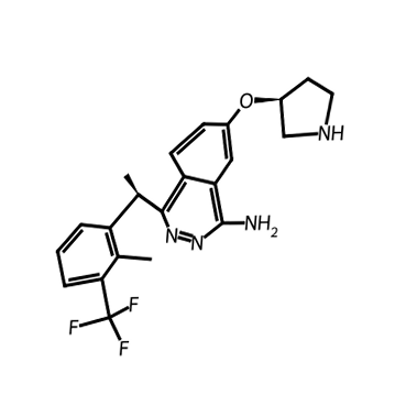 Cc1c([C@@H](C)c2nnc(N)c3cc(O[C@H]4CCNC4)ccc23)cccc1C(F)(F)F